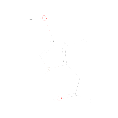 COc1csc(CC(C)=O)c1C